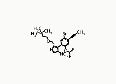 CC#Cc1cc(OC(F)F)c(-c2c([N+](=O)[O-])cnn2COCC[Si](C)(C)C)cc1Br